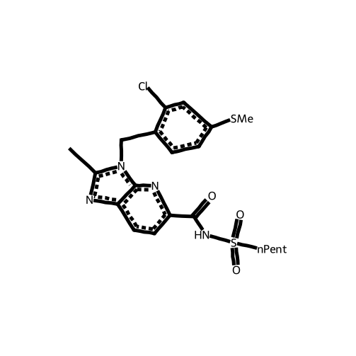 CCCCCS(=O)(=O)NC(=O)c1ccc2nc(C)n(Cc3ccc(SC)cc3Cl)c2n1